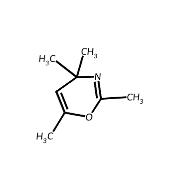 CC1=CC(C)(C)N=C(C)O1